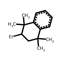 CCC1CC(C)(C)c2ccccc2C1(C)C